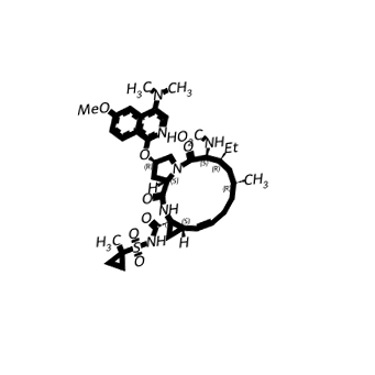 CC[C@@H]1C[C@H](C)CCC=C[C@@H]2C[C@@]2(C(=O)NS(=O)(=O)C2(C)CC2)NC(=O)[C@@H]2C[C@@H](Oc3ncc(N(C)C)c4cc(OC)ccc34)CN2C(=O)[C@H]1NC(=O)O